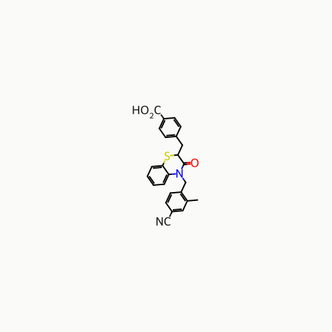 Cc1cc(C#N)ccc1CN1C(=O)C(Cc2ccc(C(=O)O)cc2)Sc2ccccc21